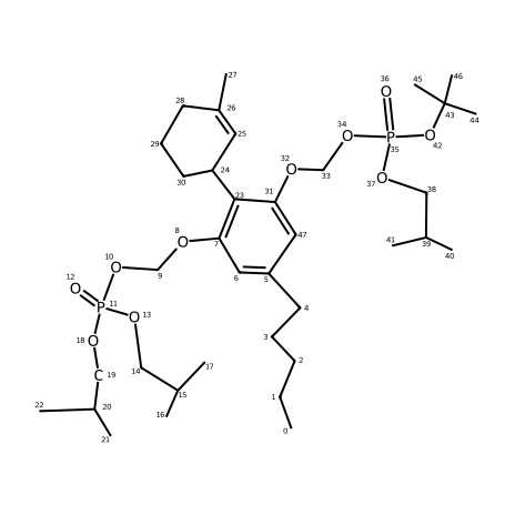 CCCCCc1cc(OCOP(=O)(OCC(C)C)OCC(C)C)c(C2C=C(C)CCC2)c(OCOP(=O)(OCC(C)C)OC(C)(C)C)c1